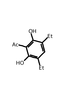 CCc1cc(CC)c(O)c(C(C)=O)c1O